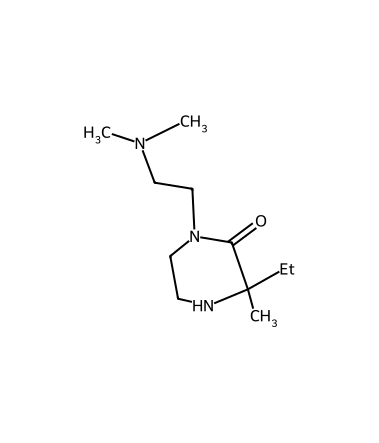 CCC1(C)NCCN(CCN(C)C)C1=O